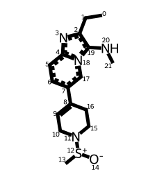 CCc1nc2ccc(C3=CCN([S+](C)[O-])CC3)cn2c1NC